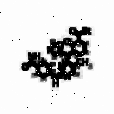 CCC(=O)C1C=CC=C(N(c2cnco2)c2nc(Nc3ccc(C(N)=O)cc3)ncc2C)C1=O